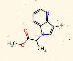 COC(=O)C(C)n1cc(Br)c2ncccc21